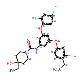 CC(C)CC1(O)CCN(C(=O)Nc2cc(Oc3ccc(CC(=O)O)c(F)c3)cc(Oc3ccc(F)cc3F)c2)CC1